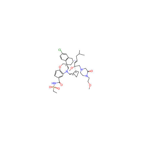 CCS(=O)(=O)NC(=O)c1ccc2c(c1)N(C[C@@H]1CC[C@H]1C(/C=C/CC(C)C)(CN1CCN(CCOC)C(=O)C1)OC)C[C@@]1(CCCc3cc(Cl)ccc31)CO2